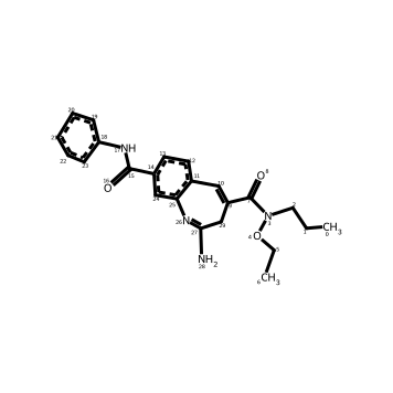 CCCN(OCC)C(=O)C1=Cc2ccc(C(=O)Nc3ccccc3)cc2N=C(N)C1